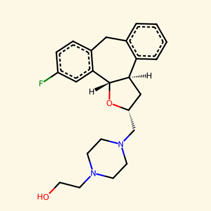 OCCN1CCN(C[C@H]2C[C@@H]3c4ccccc4Cc4ccc(F)cc4[C@H]3O2)CC1